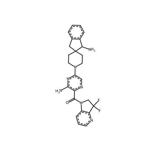 Nc1nc(N2CCC3(CC2)Cc2ccccc2C3N)cnc1C(=O)N1CC(F)(F)c2ncccc21